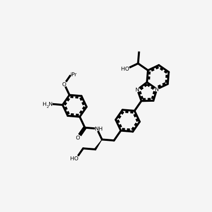 CC(C)Oc1ccc(C(=O)N[C@H](CCO)Cc2ccc(-c3cn4cccc(C(C)O)c4n3)cc2)cc1N